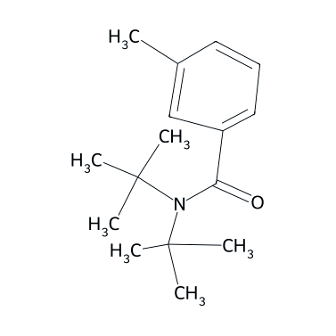 Cc1cccc(C(=O)N(C(C)(C)C)C(C)(C)C)c1